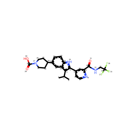 CC(C)c1c(-c2ccnc(C(=O)NCC(F)(F)F)c2)[nH]c2ccc(C3CCN(C(=O)O)CC3)cc12